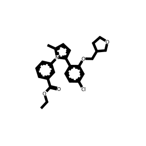 CCOC(=O)c1cccc(-n2c(C)ccc2-c2ccc(Cl)cc2OCC2CCOC2)c1